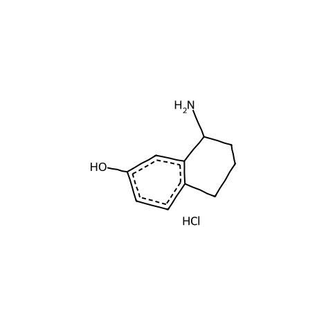 Cl.NC1CCCc2ccc(O)cc21